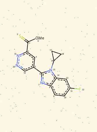 COC(=S)c1cc(-c2nc3ccc(F)cc3n2C2CC2)cnn1